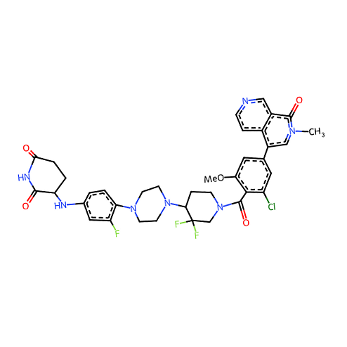 COc1cc(-c2cn(C)c(=O)c3cnccc23)cc(Cl)c1C(=O)N1CCC(N2CCN(c3ccc(NC4CCC(=O)NC4=O)cc3F)CC2)C(F)(F)C1